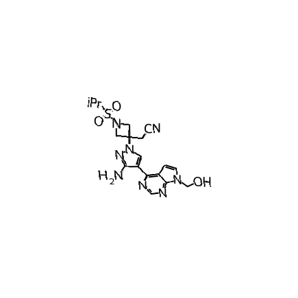 CC(C)S(=O)(=O)N1CC(CC#N)(n2cc(-c3ncnc4c3ccn4CO)c(N)n2)C1